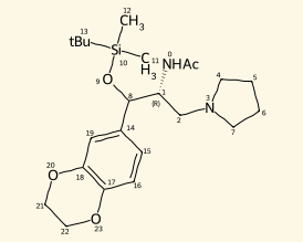 CC(=O)N[C@H](CN1CCCC1)C(O[Si](C)(C)C(C)(C)C)c1ccc2c(c1)OCCO2